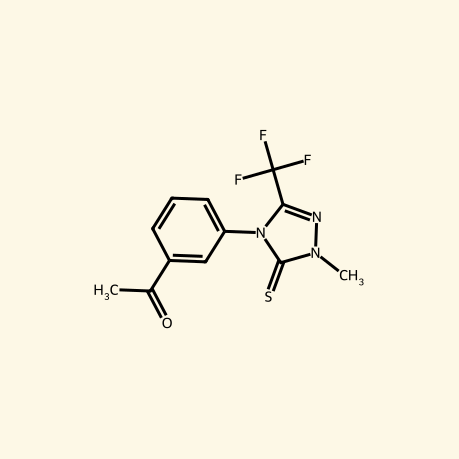 CC(=O)c1cccc(-n2c(C(F)(F)F)nn(C)c2=S)c1